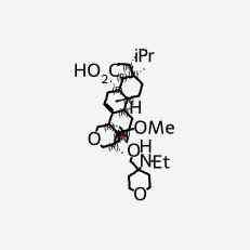 CCNC1(CO[C@H]2[C@H](OC)C[C@@]34COC[C@@]2(C)[C@@H]3CC[C@H]2C4=CC[C@@]3(C)[C@H](C(=O)O)[C@@](C)([C@H](C)C(C)C)CC[C@]23C)CCOCC1